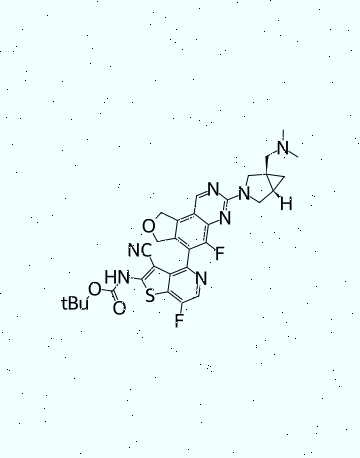 CN(C)C[C@@]12C[C@@H]1CN(c1ncc3c4c(c(-c5ncc(F)c6sc(NC(=O)OC(C)(C)C)c(C#N)c56)c(F)c3n1)COC4)C2